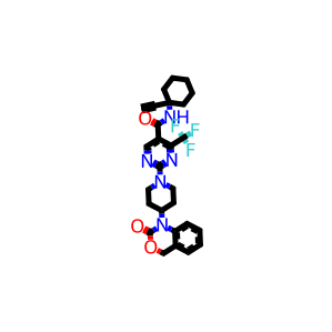 C#CC1(NC(=O)c2cnc(N3CCC(N4C(=O)OCc5ccccc54)CC3)nc2C(F)(F)F)CCCCC1